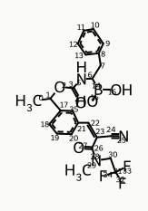 CC(OC(=O)NC(Cc1ccccc1)B(O)O)c1cccc(C=C(C#N)C(=O)N(C)CC(F)(F)F)c1